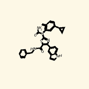 Cc1ccc(C2CC2)cc1N(C(N)=O)c1nc(-c2ccc3[nH]ccc3c2)c(C(=O)NCc2ccccc2)s1